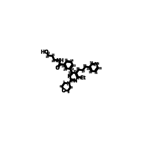 CCc1nc(N2CCOCC2)nc(-c2cccc(C(=O)NCCCO)c2)c1CCCc1cccnc1